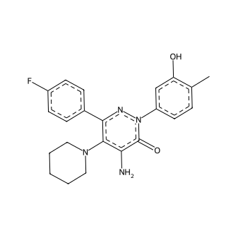 Cc1ccc(-n2nc(-c3ccc(F)cc3)c(N3CCCCC3)c(N)c2=O)cc1O